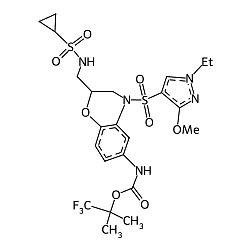 CCn1cc(S(=O)(=O)N2CC(CNS(=O)(=O)C3CC3)Oc3ccc(NC(=O)OC(C)(C)C(F)(F)F)cc32)c(OC)n1